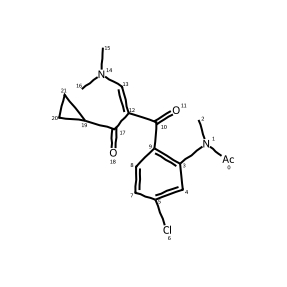 CC(=O)N(C)c1cc(Cl)ccc1C(=O)C(=CN(C)C)C(=O)C1CC1